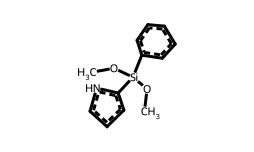 CO[Si](OC)(c1ccccc1)c1ccc[nH]1